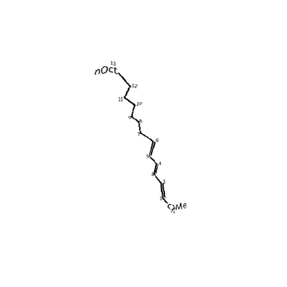 [CH2]O/C=C/C=C/C=C/CCCCCCCCCCCCCC